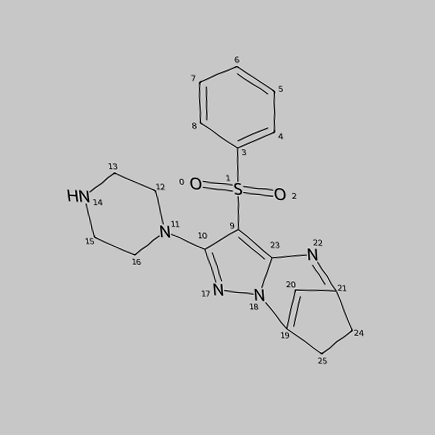 O=S(=O)(c1ccccc1)c1c(N2CCNCC2)nn2c3cc(nc12)CC3